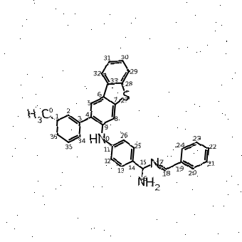 C[C@@H]1C=C(c2cc3c(cc2Nc2ccc(C(N)/N=C/c4ccccc4)cc2)sc2ccccc23)C=CC1